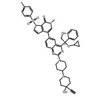 C#CC1(O)CCN(C2CCN(c3nc([C@@](CO)(OC4CC4)c4ccccc4)c4cc(-c5cn(C)c(=O)c6c5ccn6S(=O)(=O)c5ccc(C)cc5)ccc4n3)CC2)CC1